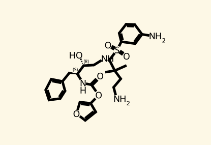 CC(C)(CCN)C(NC[C@@H](O)[C@H](Cc1ccccc1)NC(=O)Oc1ccoc1)S(=O)(=O)c1cccc(N)c1